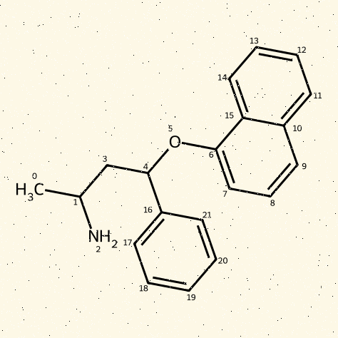 CC(N)CC(Oc1cccc2ccccc12)c1ccccc1